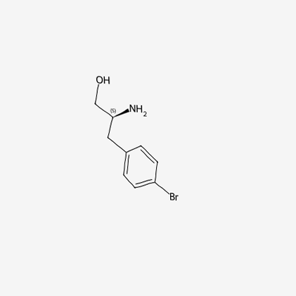 N[C@H](CO)Cc1ccc(Br)cc1